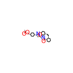 CC(=O)OCc1ccc(C2=NOC(CN3C(=O)c4ccccc4C#Cc4ccccc43)C2)cc1